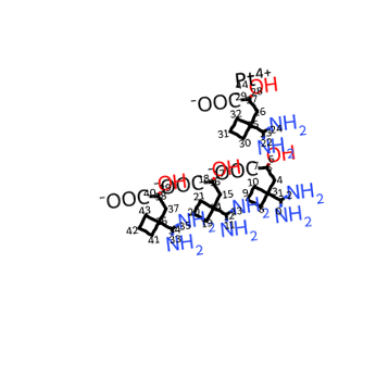 NC(N)C1(CC(O)C(=O)[O-])CCC1.NC(N)C1(CC(O)C(=O)[O-])CCC1.NC(N)C1(CC(O)C(=O)[O-])CCC1.NC(N)C1(CC(O)C(=O)[O-])CCC1.[Pt+4]